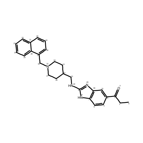 CCC(=O)c1ccc2[nH]c(NCC3CCN(Cc4cccc5ccccc45)CC3)nc2c1